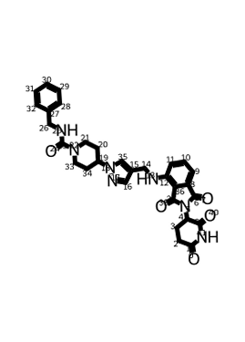 O=C1CCC(N2C(=O)c3cccc(NCc4cnn(C5CCN(C(=O)NCc6ccccc6)CC5)c4)c3C2=O)C(=O)N1